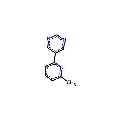 Cc1cccc(-c2cncnc2)n1